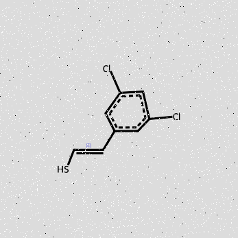 S/C=C/c1cc(Cl)cc(Cl)c1